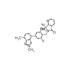 [2H]C1([2H])c2ncccc2C(=O)N1Cc1c(C)cc(-c2ccc(C)c3nn(C)cc23)cc1F